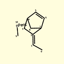 C/C=C1/CC2C=CC1C2.CCCCCC